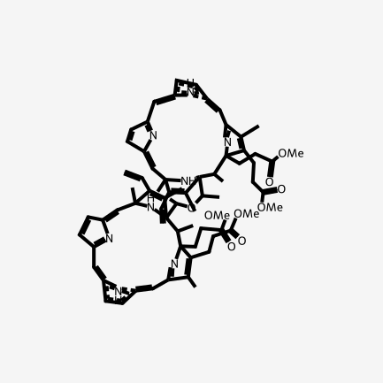 C=CC1=C(C)C2(C(C)OC(C)C34NC(C)(C=C5C=CC(=N5)C=c5ccc([nH]5)=CC5=NC(CCC(=O)OC)(C(CCC(=O)OC)=C5C)C3C)C(C=C)=C4C)NC1(C)C=C1C=CC(=N1)C=c1ccc([nH]1)=CC1=NC(CCC(=O)OC)(C(CCC(=O)OC)=C1C)C2C